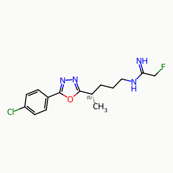 C[C@@H](CCCNC(=N)CF)c1nnc(-c2ccc(Cl)cc2)o1